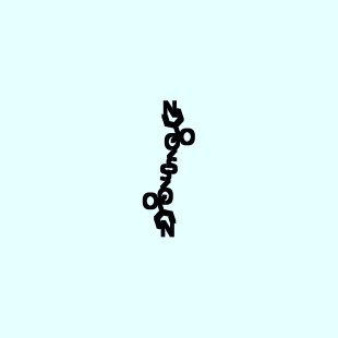 O=C(OCCSSCCOC(=O)c1ccncc1)c1ccncc1